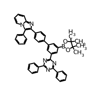 CC1(C)OB(c2cc(-c3ccc(-c4nc5ccccn5c4-c4ccccc4)cc3)cc(-c3nc(-c4ccccc4)nc(-c4ccccc4)n3)c2)OC1(C)C